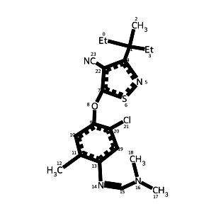 CCC(C)(CC)c1nsc(Oc2cc(C)c(/N=C\N(C)C)cc2Cl)c1C#N